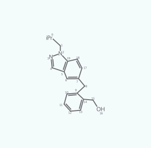 CC(C)Cn1ncc2cc(Cc3ccccc3CO)ccc21